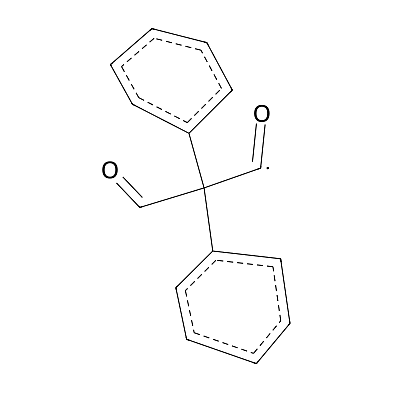 O=[C]C(C=O)(c1ccccc1)c1ccccc1